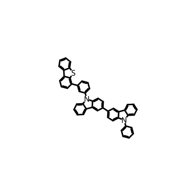 c1ccc(-n2c3ccccc3c3cc(-c4ccc5c(c4)c4ccccc4n5-c4cccc(-c5cccc6c5sc5ccccc56)c4)ccc32)cc1